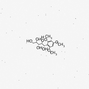 COc1cc(OC)c([C@H](O)C(O)[C@H](O)C(O)CO)c(OC)c1